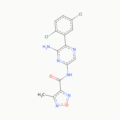 Cc1nonc1C(=O)Nc1cnc(-c2cc(Cl)ccc2Cl)c(N)n1